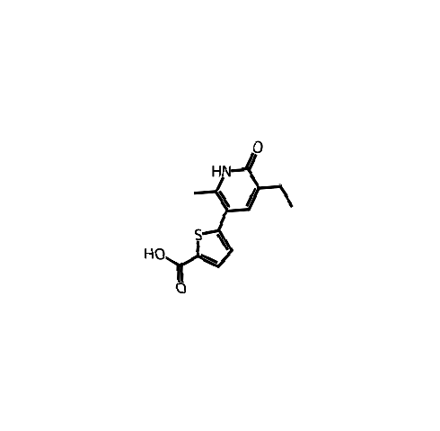 CCc1cc(-c2ccc(C(=O)O)s2)c(C)[nH]c1=O